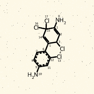 NC1=CC(Cl)C(c2ccc(N)cc2Cl)=CC1(Cl)Cl